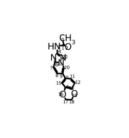 CC(=O)Nc1nc2ccc(-c3ccc4c(c3)OCCO4)cn2n1